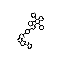 c1ccc(-c2c3c(c(-c4ccccc4)c4ccccc24)-c2ccc(-c4ccc(-c5ccc6ccc7ccc(-c8ncccn8)nc7c6n5)cc4)c4cccc-3c24)cc1